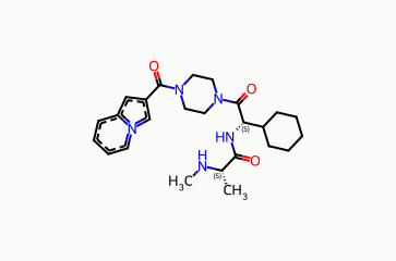 CN[C@@H](C)C(=O)N[C@H](C(=O)N1CCN(C(=O)c2cc3ccccn3c2)CC1)C1CCCCC1